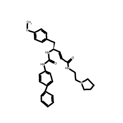 COc1ccc(C[C@@H](/C=C/C(=O)NCCN2CCCC2)NC(=O)Nc2ccc(-c3ccccc3)cc2)cc1